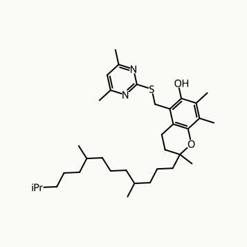 Cc1cc(C)nc(SCc2c(O)c(C)c(C)c3c2CCC(C)(CCCC(C)CCCC(C)CCCC(C)C)O3)n1